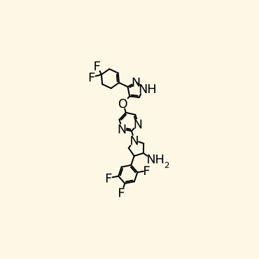 NC1CN(c2ncc(Oc3c[nH]nc3C3=CCC(F)(F)CC3)cn2)CC1c1cc(F)c(F)cc1F